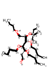 CCCCOC[C@@H](O[Si](CC)(CC)CC)[C@H](OCCCC)[C@H](OCCCC)[C@H](CC=O)OCCCC